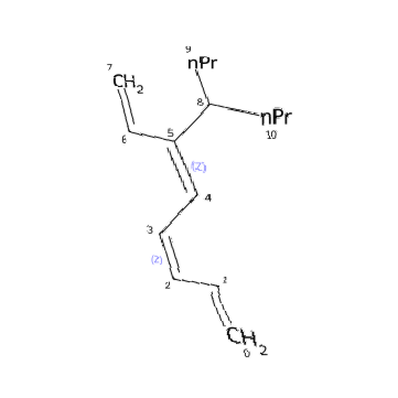 C=C/C=C\C=C(/C=C)C(CCC)CCC